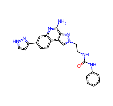 Nc1nc2cc(-c3cc[nH]n3)ccc2c2cn(CCNC(=O)Nc3ccccc3)nc12